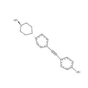 CCCc1ccc(C#Cc2ccc([C@H]3CC[C@H](CCC)CC3)cc2)cc1